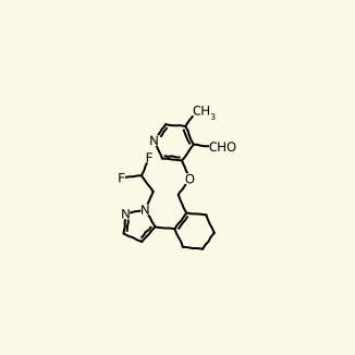 Cc1cncc(OCC2=C(c3ccnn3CC(F)F)CCCC2)c1C=O